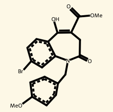 COC(=O)C1=C(O)c2ccc(Br)cc2N(Cc2ccc(OC)cc2)C(=O)C1